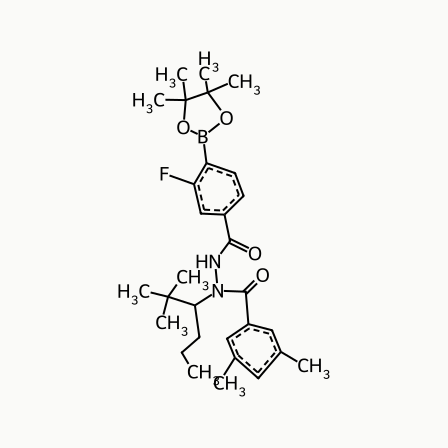 CCCC(N(NC(=O)c1ccc(B2OC(C)(C)C(C)(C)O2)c(F)c1)C(=O)c1cc(C)cc(C)c1)C(C)(C)C